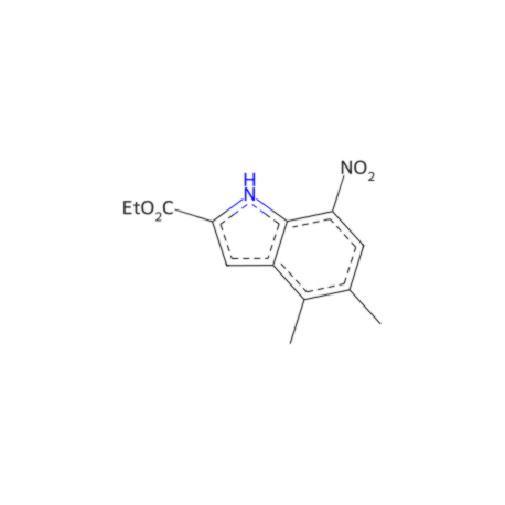 CCOC(=O)c1cc2c(C)c(C)cc([N+](=O)[O-])c2[nH]1